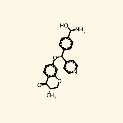 C[C@H]1COc2cc(O[C@H](c3ccncc3)c3ccc(C(N)O)cc3)ccc2C1=O